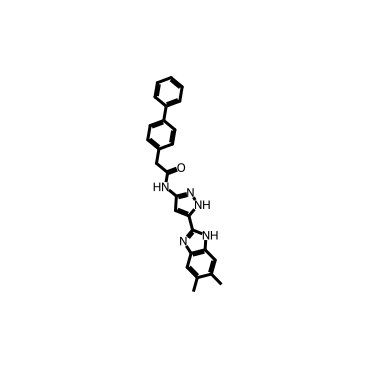 Cc1cc2nc(-c3cc(NC(=O)Cc4ccc(-c5ccccc5)cc4)n[nH]3)[nH]c2cc1C